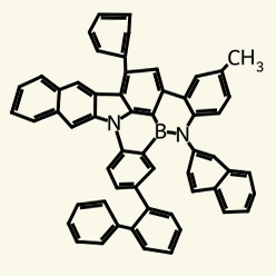 Cc1ccc2c(c1)-c1cc(-c3ccccc3)c3c4cc5ccccc5cc4n4c3c1B(c1cc(-c3ccccc3-c3ccccc3)ccc1-4)N2c1ccc2ccccc2c1